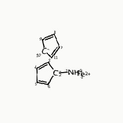 [Fe+2].[NH3+][c-]1cccc1.c1cc[cH-]c1